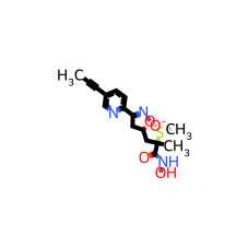 CC#Cc1ccc(C2=NOC(CC(C)(C(=O)NO)[S+](C)[O-])C2)nc1